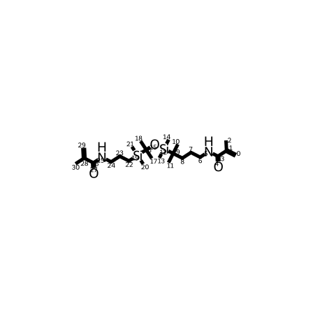 C=C(C)C(=O)NCCCC(C)(C)[Si](C)(C)OC(C)(C)[Si](C)(C)CCCNC(=O)C(=C)C